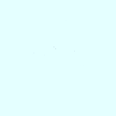 C=CCN1C(=O)C=C(C2=CC=CCC2=O)C1=O